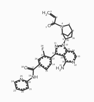 C=CC(=O)N1CC2CC1[C@H](n1nc(-c3ccc(C(=O)Nc4ccccn4)cc3F)c3c(N)nccc31)C2